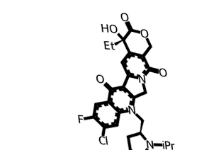 CC[C@@]1(O)C(=O)OCc2c1cc1n(c2=O)Cc2c-1c(=O)c1cc(F)c(Cl)cc1n2C[C@@H]1CCCN1C(C)C